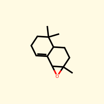 CC1(C)CCC=C2C1CCC1(C)OC21